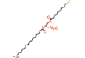 CCCCCCCCCCCCCCC(=O)O[C@@H](COP=O)COC(=O)CCCCCCCCCS